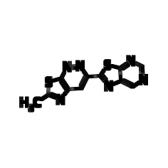 Cc1nc2cc(-c3nc4cncnc4s3)nnc2s1